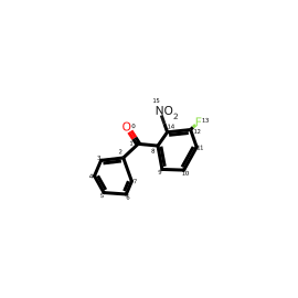 O=C(c1ccccc1)c1cccc(F)c1[N+](=O)[O-]